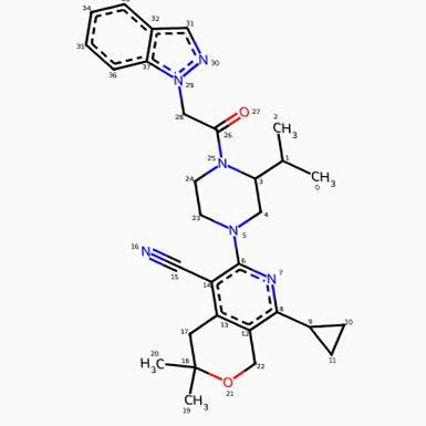 CC(C)C1CN(c2nc(C3CC3)c3c(c2C#N)CC(C)(C)OC3)CCN1C(=O)Cn1ncc2ccccc21